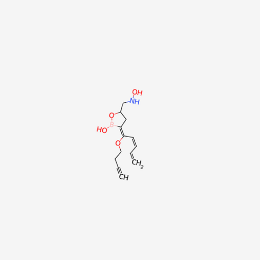 C#CCCOC(/C=C\C=C)=C1/CC(CNO)OB1O